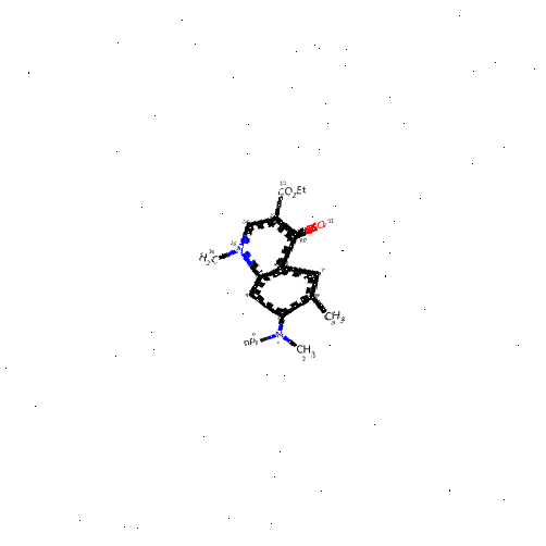 CCCN(C)c1cc2c(cc1C)c(=O)c(C(=O)OCC)cn2C